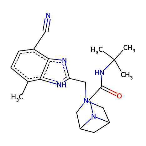 Cc1ccc(C#N)c2nc(CN3CC4CC(C3)N4CC(=O)NC(C)(C)C)[nH]c12